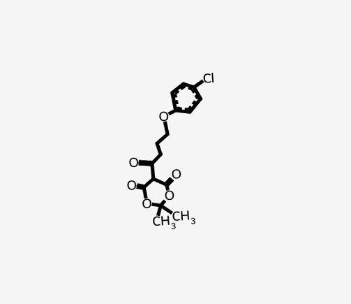 CC1(C)OC(=O)C(C(=O)CCCOc2ccc(Cl)cc2)C(=O)O1